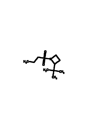 CCCS(=O)(=O)N1CCC1C(C)(C)C